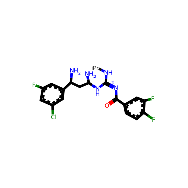 CC(C)N/C(=N/C(=O)c1ccc(F)c(F)c1)NC(N)CC(N)c1cc(F)cc(Cl)c1